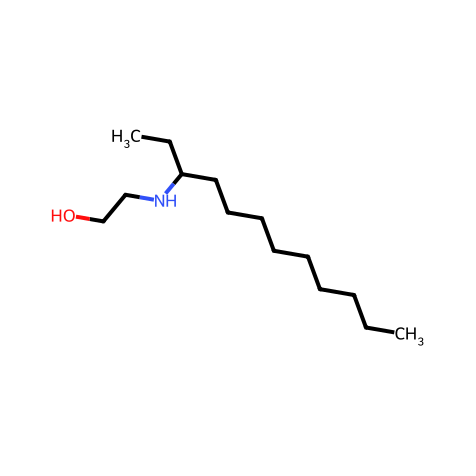 CCCCCCCCCC(CC)NCCO